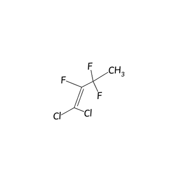 CC(F)(F)C(F)=C(Cl)Cl